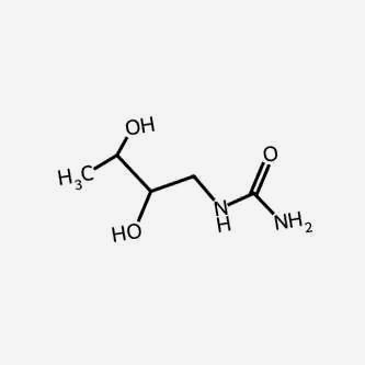 CC(O)C(O)CNC(N)=O